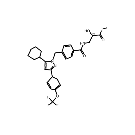 COC(=O)[C@H](O)CNC(=O)c1ccc(Cn2nc(C3C=CC(OC(F)(F)F)=CC3)cc2C2CCCCC2)cc1